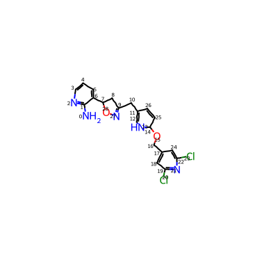 Nc1ncccc1C1CC(CC2=CNC(OCc3cc(Cl)nc(Cl)c3)C=C2)=NO1